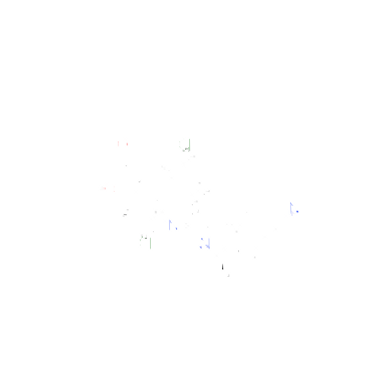 C[C@H](CO)Oc1ccc(N2CCN([C@H](C)c3ccc(C#N)cc3)C[C@H]2c2ccc(Cl)cc2)c(Cl)c1